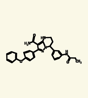 CCC(=O)Nc1cccc(C2CCNc3c(C(N)=O)c(-c4ccc(Oc5ccccc5)cc4)nn32)c1